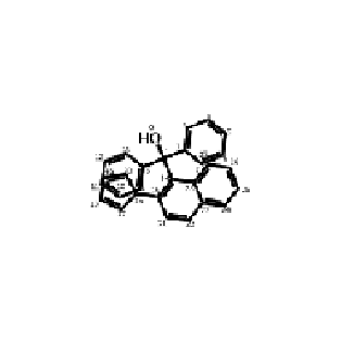 OC(c1ccccc1)(c1ccccc1)c1c(C2C=CC=C2)ccc2ccccc12